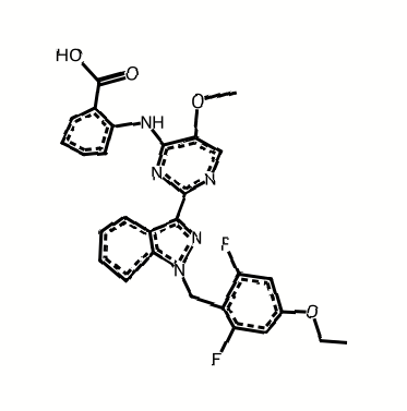 CCOc1cc(F)c(Cn2nc(-c3ncc(OC)c(Nc4ccccc4C(=O)O)n3)c3ccccc32)c(F)c1